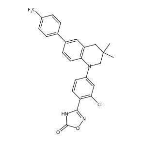 CC1(C)Cc2cc(-c3ccc(C(F)(F)F)cc3)ccc2N(c2ccc(-c3noc(=O)[nH]3)c(Cl)c2)C1